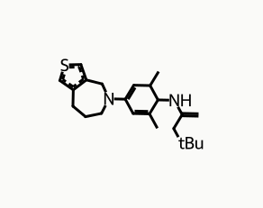 C=C(CC(C)(C)C)NC1C(C)=CC(N2CCCc3cscc3C2)=CC1C